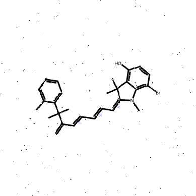 C=C(/C=C/C=C/C=C1/N(C)c2c(Br)ccc(O)c2C1(C)C)C(C)(C)c1ccccc1C